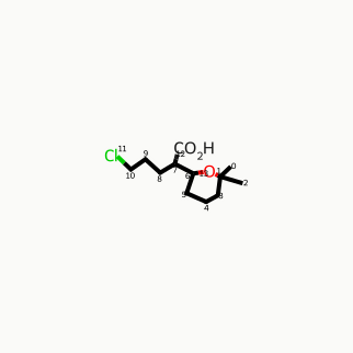 CC1(C)CCCC(C(CCCCl)C(=O)O)O1